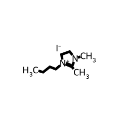 CCCC[N+]1=C(C)N(C)CC1.[I-]